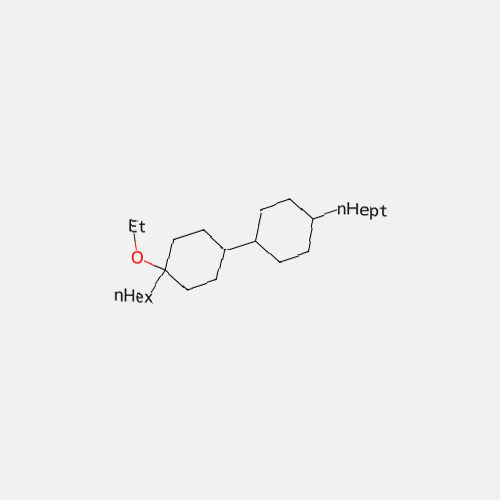 CCCCCCCC1CCC(C2CCC(CCCCCC)(OCC)CC2)CC1